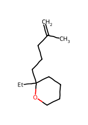 C=C(C)CCCC1(CC)CCCCO1